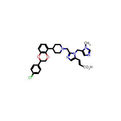 Cn1cncc1Cn1c(/C=C/C(=O)O)cnc1CN1CCC(c2cccc3c2OCC(c2ccc(Cl)cc2)O3)CC1